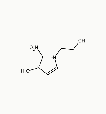 CN1C=CN(CCO)C1[N+](=O)[O-]